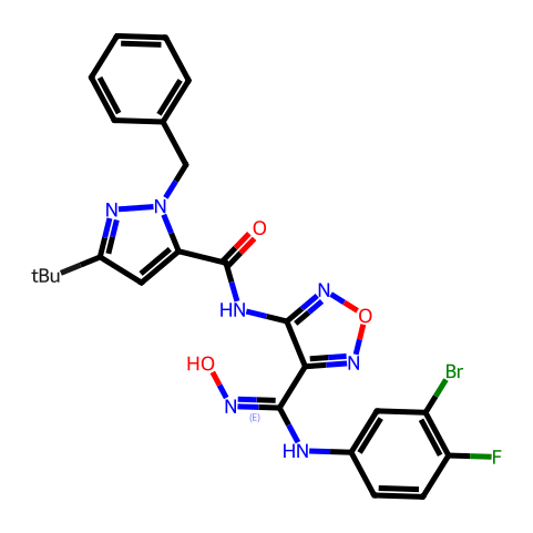 CC(C)(C)c1cc(C(=O)Nc2nonc2/C(=N\O)Nc2ccc(F)c(Br)c2)n(Cc2ccccc2)n1